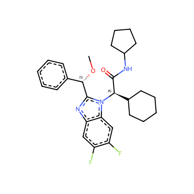 CO[C@@H](c1ccccc1)c1nc2cc(F)c(F)cc2n1[C@@H](C(=O)NC1CCCC1)C1CCCCC1